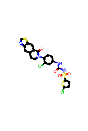 O=C(Nc1ccc(-n2ccc3cc4ncsc4cc3c2=O)c(Cl)c1)NS(=O)(=O)c1ccc(Cl)s1